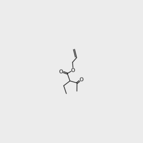 C=CCOC(=O)C(CC)C(C)=O